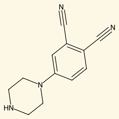 N#Cc1ccc(N2CCNCC2)cc1C#N